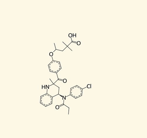 CCC(=O)N(c1ccc(Cl)cc1)[C@@H]1CC(C)(C(=O)c2ccc(OC(C)CC(C)(C)C(=O)O)cc2)Nc2ccccc21